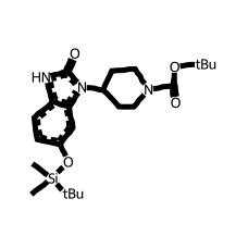 CC(C)(C)OC(=O)N1CCC(n2c(=O)[nH]c3ccc(O[Si](C)(C)C(C)(C)C)cc32)CC1